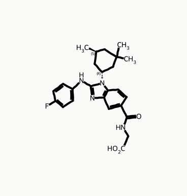 C[C@@H]1C[C@@H](n2c(Nc3ccc(F)cc3)nc3cc(C(=O)NCC(=O)O)ccc32)CC(C)(C)C1